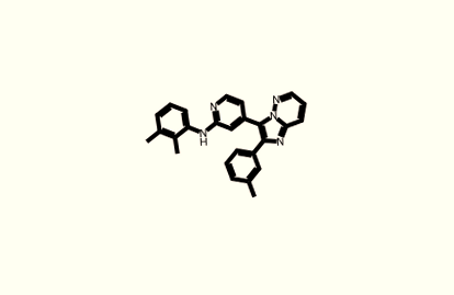 Cc1cccc(-c2nc3cccnn3c2-c2ccnc(Nc3cccc(C)c3C)c2)c1